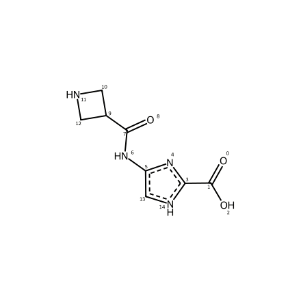 O=C(O)c1nc(NC(=O)C2CNC2)c[nH]1